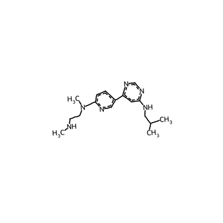 CNCCN(C)c1ccc(-c2cc(NCC(C)C)ncn2)cn1